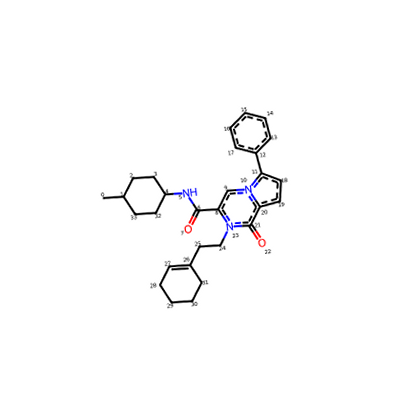 CC1CCC(NC(=O)c2cn3c(-c4ccccc4)ccc3c(=O)n2CCC2=CCCCC2)CC1